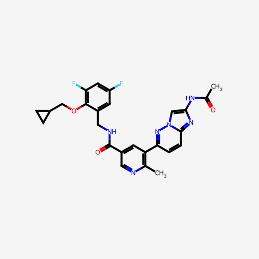 CC(=O)Nc1cn2nc(-c3cc(C(=O)NCc4cc(F)cc(F)c4OCC4CC4)cnc3C)ccc2n1